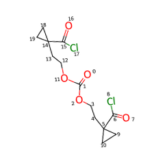 O=C(OCCC1(C(=O)Cl)CC1)OCCC1(C(=O)Cl)CC1